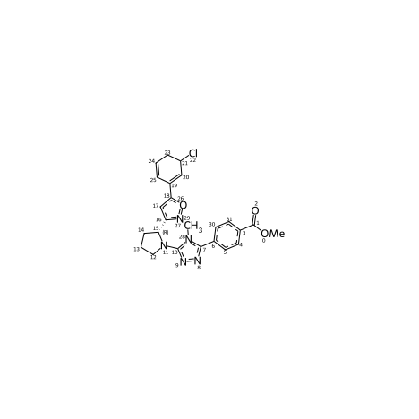 COC(=O)c1ccc(-c2nnc(N3CCC[C@@H]3c3cc(C4=CC(Cl)CC=C4)on3)n2C)cc1